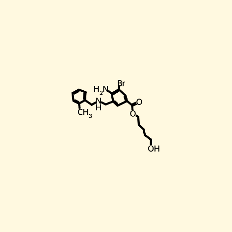 Cc1ccccc1CNCc1cc(C(=O)OCCCCCO)cc(Br)c1N